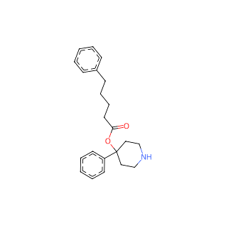 O=C(CCCCc1ccccc1)OC1(c2ccccc2)CCNCC1